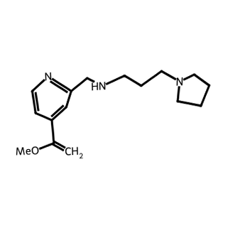 C=C(OC)c1ccnc(CNCCCN2CCCC2)c1